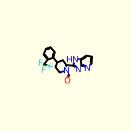 O=CN1CCC(c2ccccc2C(F)(F)F)CC1c1nc2ncccc2[nH]1